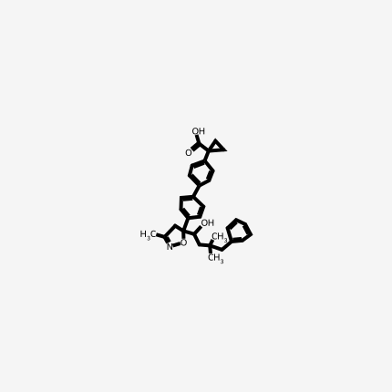 CC1=NOC(c2ccc(-c3ccc(C4(C(=O)O)CC4)cc3)cc2)(C(O)CC(C)(C)Cc2ccccc2)C1